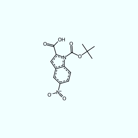 CC(C)(C)OC(=O)n1c(C(=O)O)cc2cc([N+](=O)[O-])ccc21